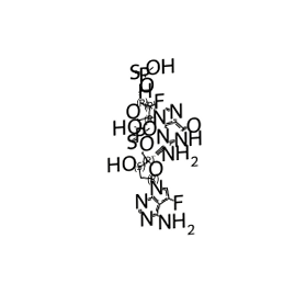 C#C[C@]1(COP(O)(=S)O[C@]2(n3cnc4c(=O)[nH]c(N)nc43)CO[C@H](CO[PH](O)=S)[C@H]2F)O[C@@H](n2cc(F)c3c(N)ncnc32)C[C@@H]1O